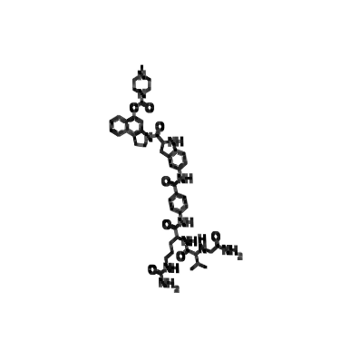 CC(C)C(NCC(N)=O)C(=O)NC(CCCNC(N)=O)C(=O)Nc1ccc(C(=O)Nc2ccc3c(c2)CC(C(=O)N2CCc4c2cc(OC(=O)N2CCN(C)CC2)c2ccccc42)N3)cc1